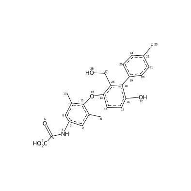 Cc1cc(NC(=O)C(=O)O)cc(C)c1Oc1ccc(O)c(-c2ccc(F)cc2)c1CO